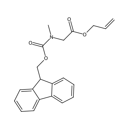 C=CCOC(=O)CN(C)C(=O)OCC1c2ccccc2-c2ccccc21